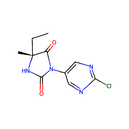 CC[C@@]1(C)NC(=O)N(c2cnc(Cl)nc2)C1=O